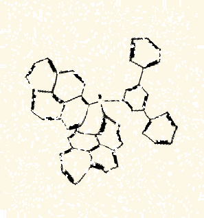 O=P(c1cc(-c2ccccc2)cc(-c2ccccc2)c1)(c1ccc2ccc3cccc4ccc1c2c34)c1ccc2ccc3cccc4ccc1c2c34